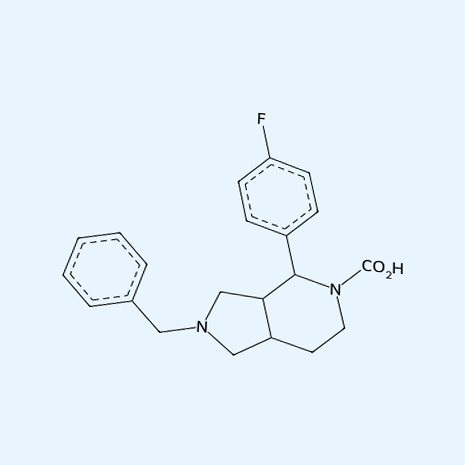 O=C(O)N1CCC2CN(Cc3ccccc3)CC2C1c1ccc(F)cc1